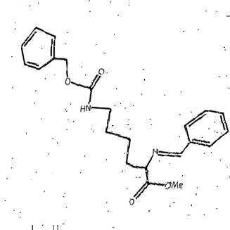 COC(=O)C(CCCCNC(=O)OCc1ccccc1)/N=C/c1ccccc1